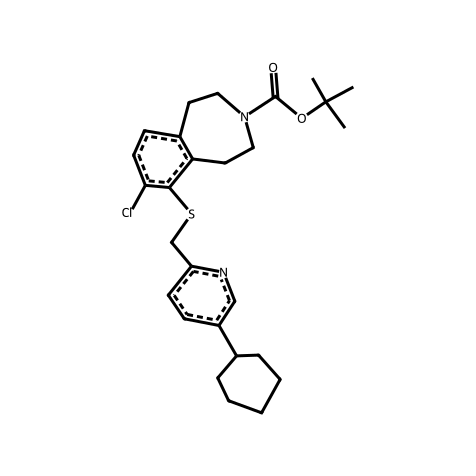 CC(C)(C)OC(=O)N1CCc2ccc(Cl)c(SCc3ccc(C4CCCCC4)cn3)c2CC1